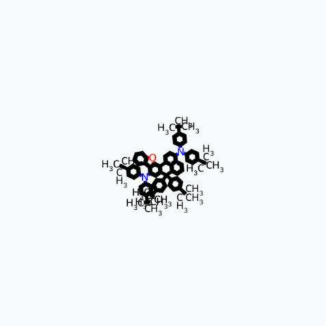 CC(C)(C)c1ccc(N(c2ccc(C(C)(C)C)cc2)c2ccc3c4c(cccc24)C(c2ccc(C(C)(C)C)cc2)(c2ccc(C(C)(C)C)cc2)c2cc(N(c4ccc(C(C)(C)C)cc4)c4ccc(C(C)(C)C)cc4)c4c(oc5ccccc54)c2-3)cc1